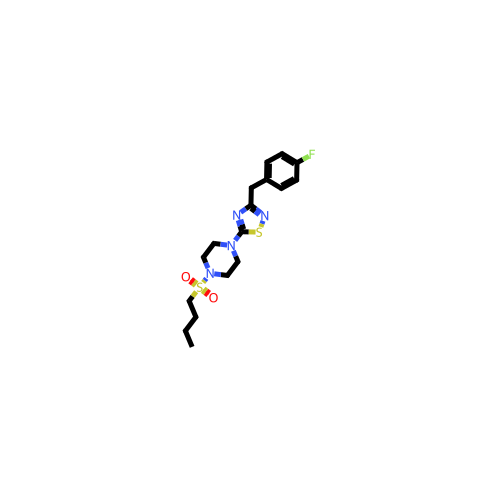 CCCCS(=O)(=O)N1CCN(c2nc(Cc3ccc(F)cc3)ns2)CC1